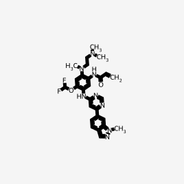 C=CC(=O)Nc1cc(Nc2cc(-c3ccc4cnn(C)c4c3)ncn2)c(OC(F)F)cc1N(C)CCN(C)C